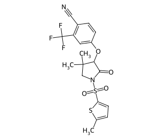 Cc1ccc(S(=O)(=O)N2CC(C)(C)C(Oc3ccc(C#N)c(C(F)(F)F)c3)C2=O)s1